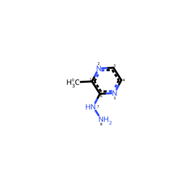 Cc1nccnc1NN